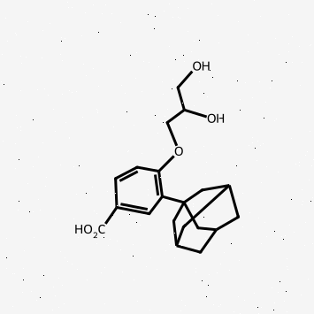 O=C(O)c1ccc(OCC(O)CO)c(C23CC4CC(CC(C4)C2)C3)c1